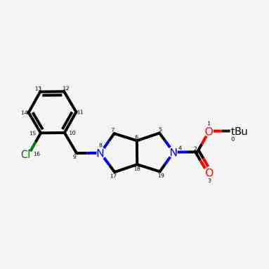 CC(C)(C)OC(=O)N1CC2CN(Cc3ccccc3Cl)CC2C1